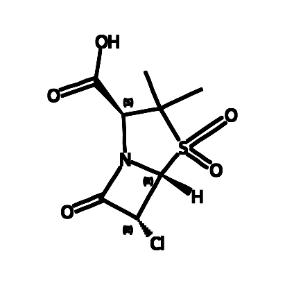 CC1(C)[C@H](C(=O)O)N2C(=O)[C@@H](Cl)[C@H]2S1(=O)=O